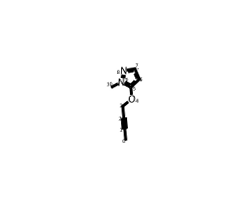 CC#CCOc1c[c]nn1C